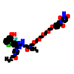 C=CC(=O)N1CCN(c2nc(NCCC(=O)N(C)CCOCCOCCOCCOCCOc3ccc4c(c3)CN(C3CCC(=O)NC3=O)C4=O)nc3c(F)c(-c4cc(O)cc5ccccc45)c(Cl)cc23)CC1